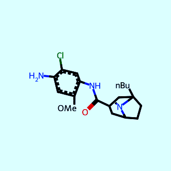 CCCCC12CCC(CC(C(=O)Nc3cc(Cl)c(N)cc3OC)C1)N2C